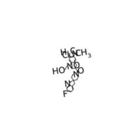 CN(C)c1cc2c(cc1Cl)N(CCO)CC(C(=O)N1CCC(C#N)(Cc3ccc(F)cc3)CC1)O2